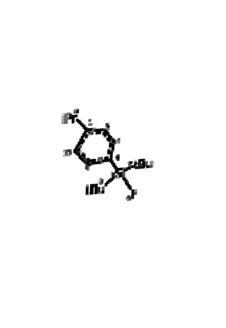 CC(C)c1ccc([Si](F)(C(C)(C)C)C(C)(C)C)cc1